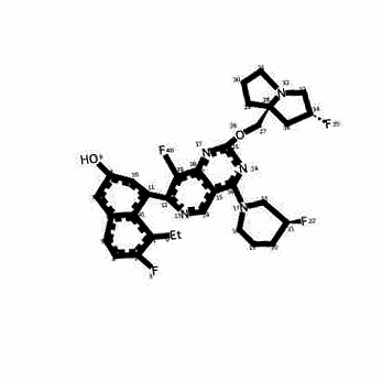 CCc1c(F)ccc2cc(O)cc(-c3ncc4c(N5CCC[C@H](F)C5)nc(OC[C@@]56CCCN5C[C@H](F)C6)nc4c3F)c12